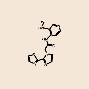 CCNc1cnccc1NC(=O)Cn1ccnc1-c1nccs1